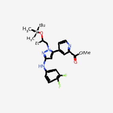 CCC(Cn1nc(Nc2ccc(F)c(F)c2)cc1-c1ccnc(C(=O)OC)c1)O[Si](C)(C)C(C)(C)C